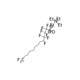 CC[N+](CC)(CC)CC.O=S(=O)([O-])C(F)(F)C(F)(F)C(F)(F)C(F)CCCCCCCC(F)(F)F